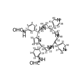 O=CNc1cccc(-c2c3nc(c(-c4cccc(NC=O)c4)c4ccc([nH]4)c(-c4ccncc4)c4nc(c(-c5ccncc5)c5ccc2[nH]5)C=C4)C=C3)c1